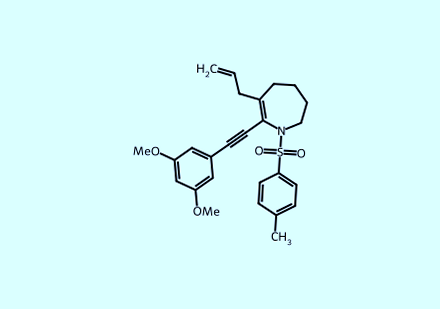 C=CCC1=C(C#Cc2cc(OC)cc(OC)c2)N(S(=O)(=O)c2ccc(C)cc2)CCCC1